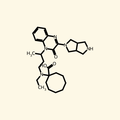 CCN(CCC(C)n1c(=O)c(N2CC3CNCC3C2)nc2ccccc21)C1(C(=O)O)CCCCCCC1